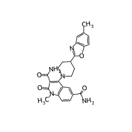 Cc1ccc2oc(C3CCN(c4c(C(N)=O)c(=O)n(C)c5ccc(C(N)=O)cc45)CC3)nc2c1